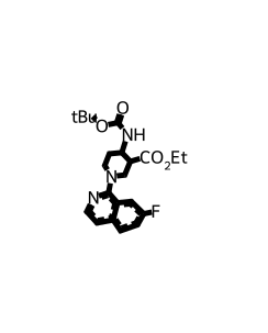 CCOC(=O)C1CN(c2nccc3ccc(F)cc23)CCC1NC(=O)OC(C)(C)C